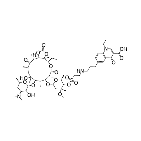 CC[C@H]1OC(=O)[C@H](C)[C@@H](O[C@H]2C[C@@](C)(OC)[C@@H](OS(=O)(=O)CCNCCCc3ccc4c(c3)c(=O)c(C(=O)O)cn4CC)[C@H](C)O2)[C@H](C)[C@@H](O[C@@H]2O[C@H](C)C[C@H](N(C)C)[C@H]2O)[C@](C)(O)C[C@@H](C)C(=O)[C@H](C)[C@H]2OC(=O)O[C@@]21C